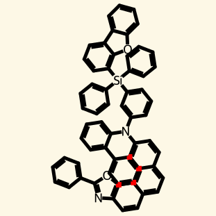 c1ccc(-c2nc3ccc4ccc5ccc(N(c6cccc([Si](c7ccccc7)(c7ccccc7)c7cccc8c7oc7ccccc78)c6)c6ccccc6-c6ccccc6)cc5c4c3o2)cc1